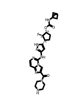 O=C(NC12CC(C1)C2)O[C@@H]1CC[C@H](c2cc(Nc3nccc4nc(C(=O)N5CCNCC5)cn34)n[nH]2)[C@H]1F